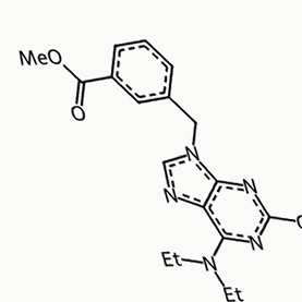 CCN(CC)c1nc(Cl)nc2c1ncn2Cc1cccc(C(=O)OC)c1